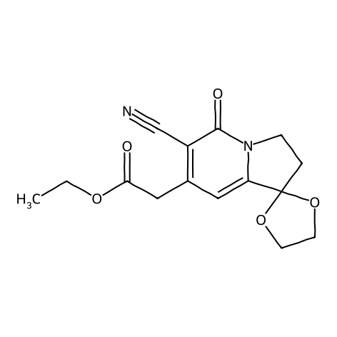 CCOC(=O)Cc1cc2n(c(=O)c1C#N)CCC21OCCO1